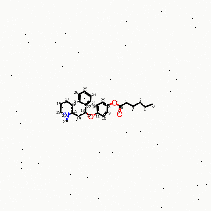 CCCCCC(=O)Oc1ccc(OC(CC2CCCCN2C)c2ccccc2)cc1